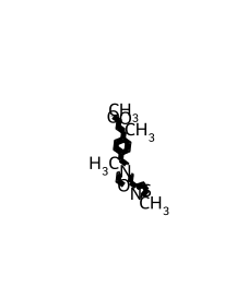 COC(=O)C=C(C)c1ccc(C(C)CN2CCOC(c3csc(C)n3)C2)cc1